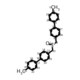 Cc1ccc(-c2ccc(C[S+]([O-])Cc3ccc(-c4ccc(C)cc4)cc3)cc2)cc1